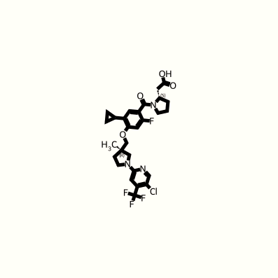 C[C@@]1(COc2cc(F)c(C(=O)N3CCC[C@H]3CC(=O)O)cc2C2CC2)CCN(c2cc(C(F)(F)F)c(Cl)cn2)C1